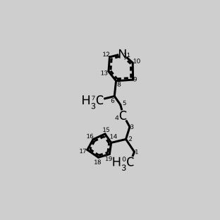 CCC(CCCC(C)c1ccncc1)c1ccccc1